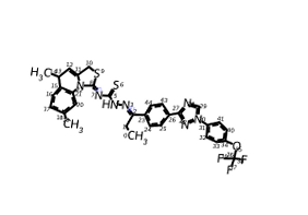 CC/C(=N\NC(=S)/N=C1\SCC2=CC(C)c3ccc(C)cc3N21)c1ccc(-c2ncn(-c3ccc(OC(F)(F)F)cc3)n2)cc1